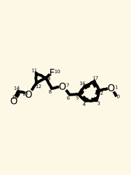 COc1ccc(COCC2(F)CC2OC=O)cc1